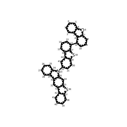 c1ccc2c(c1)oc1cccc(-c3cccc4c3sc3ccc(-n5c6ccccc6c6cc7c(cc65)sc5ccccc57)cc34)c12